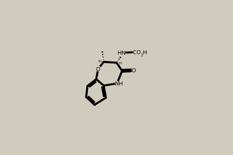 C[C@H]1Oc2ccccc2NC(=O)[C@H]1NC(=O)O